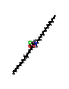 CCCCCCCCCCCCCCCCCC[N+](C)(C)C(C)OC(=O)CCCCCCCCCCCCCCCCC.[Cl-]